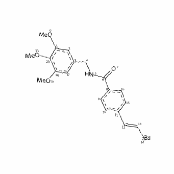 COc1cc(CNC(=O)c2ccc(/C=C/C(C)(C)C)cc2)cc(OC)c1OC